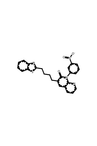 O=c1c(CCCCc2nc3ccccc3s2)cc2cccnc2n1-c1cccc([N+](=O)[O-])c1